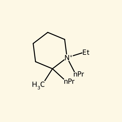 CCCC1(C)CCCC[N+]1(CC)CCC